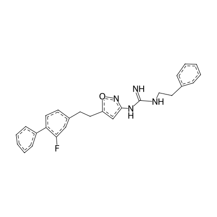 N=C(NCCc1ccccc1)Nc1cc(CCc2ccc(-c3ccccc3)c(F)c2)on1